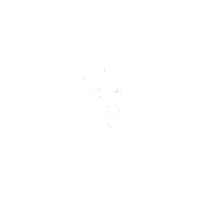 CC(C)OC(=O)/C(C#N)=C/c1cccc([N+](=O)[O-])c1